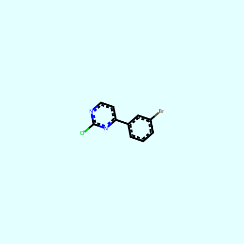 Clc1nccc(-c2cccc(Br)c2)n1